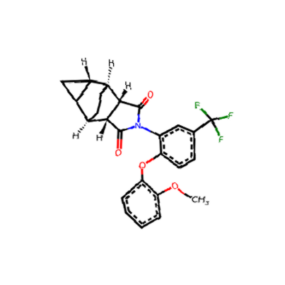 COc1ccccc1Oc1ccc(C(F)(F)F)cc1N1C(=O)[C@H]2[C@H]3CC[C@H](C4C[C@@H]43)[C@H]2C1=O